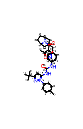 Cc1ccc(-n2nc(C(C)(C)C)cc2NC(=O)Nc2ccc(CC3CC4CCC(C3)N4C(=O)c3cnoc3C)cc2)cc1